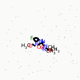 COCCn1c(=O)c2c(-c3nc(C(C)(C)OC)no3)ncn2c2ccc(F)cc21